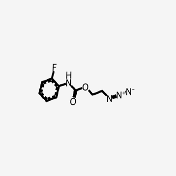 [N-]=[N+]=NCCOC(=O)Nc1ccccc1F